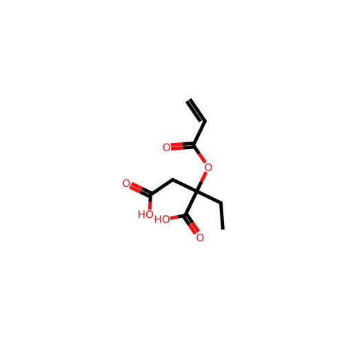 C=CC(=O)OC(CC)(CC(=O)O)C(=O)O